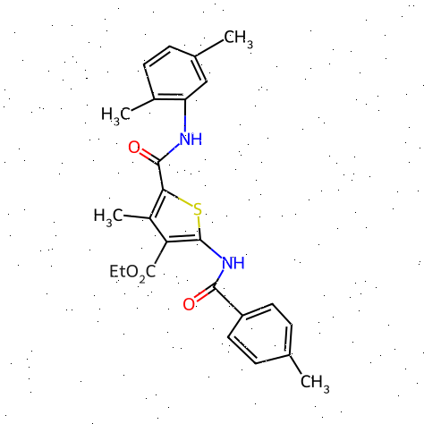 CCOC(=O)c1c(NC(=O)c2ccc(C)cc2)sc(C(=O)Nc2cc(C)ccc2C)c1C